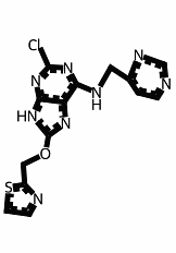 Clc1nc(NCc2ccncn2)c2nc(OCc3nccs3)[nH]c2n1